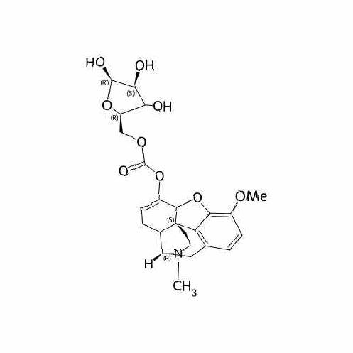 COc1ccc2c3c1OC1C(OC(=O)OC[C@H]4O[C@@H](O)[C@@H](O)C4O)=CCC4[C@@H](C2)N(C)CC[C@]314